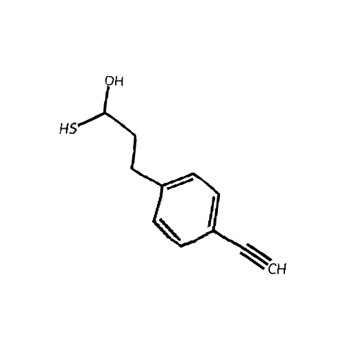 C#Cc1ccc(CCC(O)S)cc1